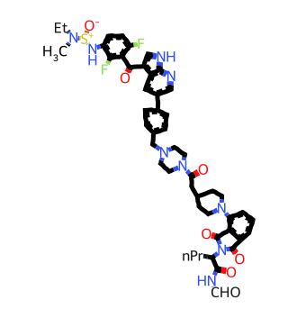 CCCC(C(=O)NC=O)N1C(=O)c2cccc(N3CCC(CC(=O)N4CCN(Cc5ccc(-c6cnc7[nH]cc(C(=O)c8c(F)ccc(N[S+]([O-])N(C)CC)c8F)c7c6)cc5)CC4)CC3)c2C1=O